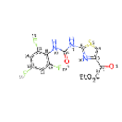 CCOC(=O)C(=O)c1csc(NC(=O)Nc2c(F)cc(F)cc2F)n1